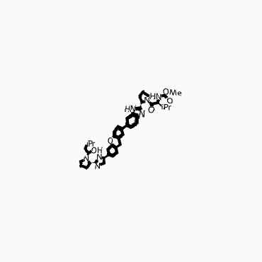 COC(=O)N[C@H](C(=O)N1CCC[C@H]1c1nc2ccc(-c3ccc4c(c3)Cc3ccc(C5CN=C([C@@H]6CCCN6C(=O)CC(C)C)N5)cc3O4)cc2[nH]1)C(C)C